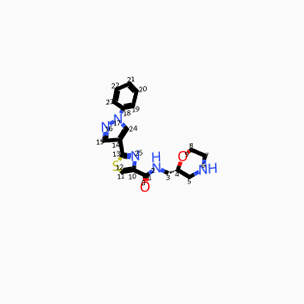 O=C(NC[C@H]1CNCCO1)c1csc(-c2cnn(-c3ccccc3)c2)n1